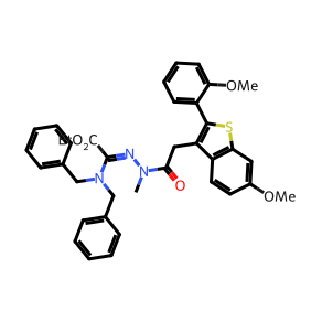 CCOC(=O)C(=NN(C)C(=O)Cc1c(-c2ccccc2OC)sc2cc(OC)ccc12)N(Cc1ccccc1)Cc1ccccc1